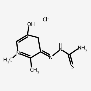 CC1=[N+](C)C=C(O)CC1=NNC(N)=S.[Cl-]